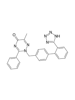 Cc1nn(Cc2ccc(-c3ccccc3-c3nnn[nH]3)cc2)c(-c2ccccc2)nc1=O